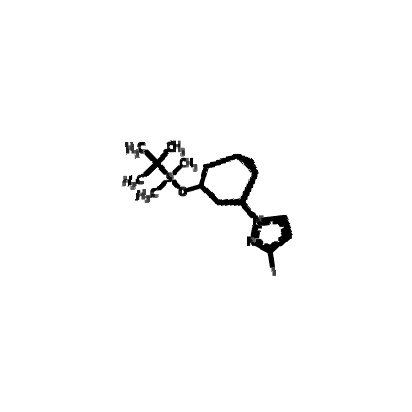 CC(C)(C)[Si](C)(C)OC1CCCC(n2ccc(I)n2)C1